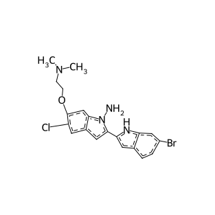 CN(C)CCOc1cc2c(cc1Cl)cc(-c1cc3ccc(Br)cc3[nH]1)n2N